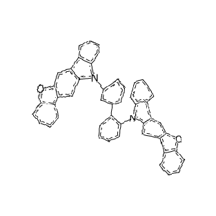 c1cc(-c2ccccc2-n2c3ccccc3c3cc4oc5ccccc5c4cc32)cc(-n2c3ccccc3c3cc4oc5ccccc5c4cc32)c1